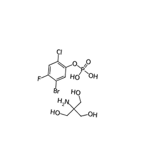 NC(CO)(CO)CO.O=P(O)(O)Oc1cc(Br)c(F)cc1Cl